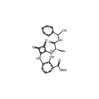 CNC(=O)c1cccc(Nc2c(N[C@@H](C(=O)NC(C#N)c3ccccc3)C(C)C)c(=O)c2=O)c1O